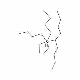 CCCCC(CCCC)[SH](CC)(CC)(CCCC)CCCC